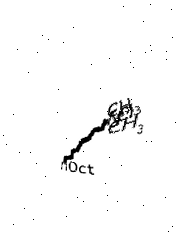 CCCCCCCCCCCCCCCCC[N+](C)(C)Cl